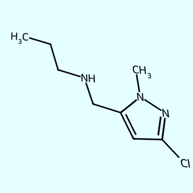 CCCNCc1cc(Cl)nn1C